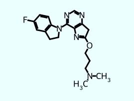 CN(C)CCCOC1=Nc2c(ncnc2N2CCc3cc(F)ccc32)C1